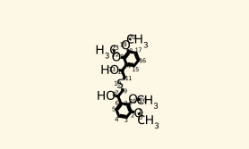 COc1cccc(C(O)CSCC(O)c2cccc(OC)c2OC)c1OC